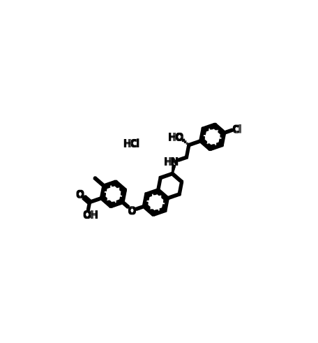 Cc1ccc(Oc2ccc3c(c2)C[C@@H](NC[C@H](O)c2ccc(Cl)cc2)CC3)cc1C(=O)O.Cl